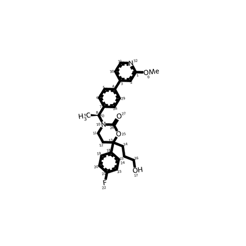 COc1cc(-c2ccc([C@H](C)N3CCC(CCCO)(c4ccc(F)cc4)OC3=O)cc2)ccn1